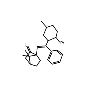 CC1CCC(C(C)C)C(C(=CC23CCC(CC2=O)C3(C)C)c2ccccc2)C1